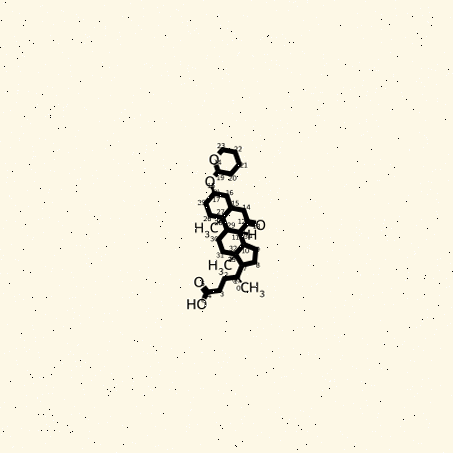 C[C@H](CCC(=O)O)C1CCC2[C@H]3C(=O)CC4C[C@H](OC5CCCCO5)CC[C@]4(C)C3CC[C@@]21C